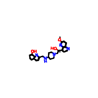 COc1ccc2nccc([C@H](O)CN3CCC(NCc4ccc5cccc(O)c5n4)CC3)c2n1